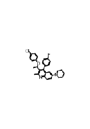 Cc1nc2ccc(N3CCCCC3)cc2c(-c2ccc(F)cc2)c1C(C)Oc1ccc(Cl)cc1